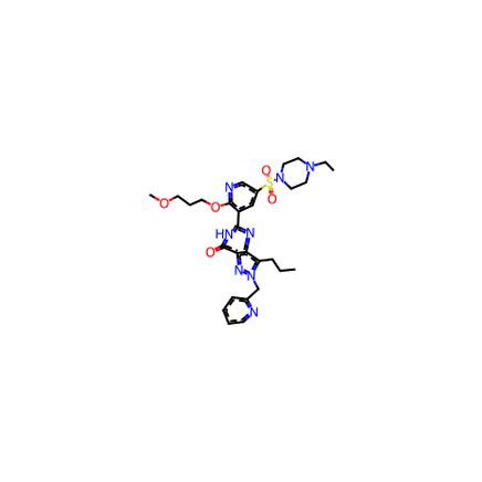 CCCc1c2nc(-c3cc(S(=O)(=O)N4CCN(CC)CC4)cnc3OCCCOC)[nH]c(=O)c2nn1Cc1ccccn1